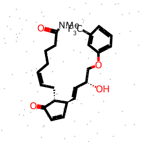 CNC(=O)CCC/C=C\C[C@H]1C(=O)C=C[C@@H]1/C=C/[C@@H](O)COc1cccc(C(F)(F)F)c1